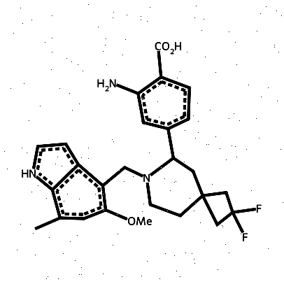 COc1cc(C)c2[nH]ccc2c1CN1CCC2(CC1c1ccc(C(=O)O)c(N)c1)CC(F)(F)C2